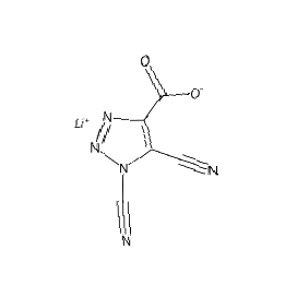 N#Cc1c(C(=O)[O-])nnn1C#N.[Li+]